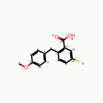 COc1ccc(Cc2ccc(F)cc2C(=O)O)cc1